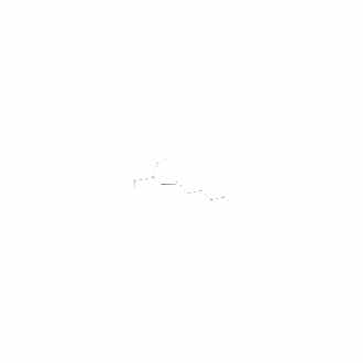 CC(C)CCCNCC(C(C)C)C(C)C